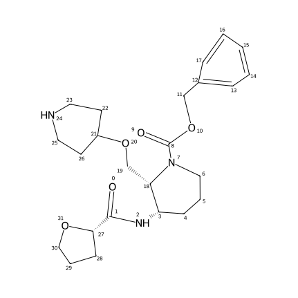 O=C(N[C@H]1CCCN(C(=O)OCc2ccccc2)[C@H]1COC1CCNCC1)[C@@H]1CCCO1